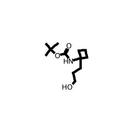 CC(C)(C)OC(=O)NC1(CCCO)CCC1